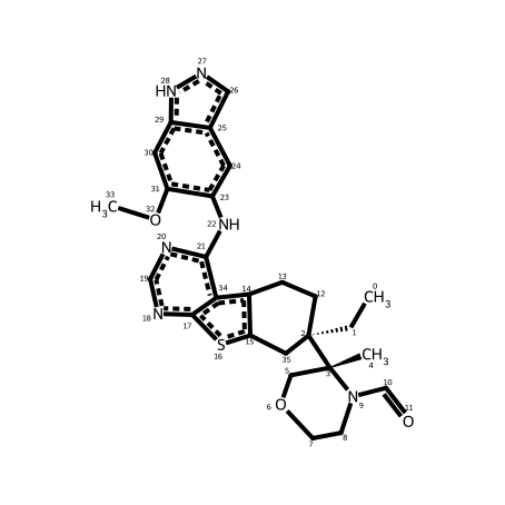 CC[C@@]1([C@@]2(C)COCCN2C=O)CCc2c(sc3ncnc(Nc4cc5cn[nH]c5cc4OC)c23)C1